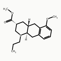 CCCN1C[C@H](C(=O)OC)C[C@@H]2Cc3c(cccc3OC)C[C@H]21